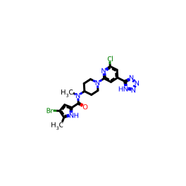 Cc1[nH]c(C(=O)N(C)C2CCN(c3cc(-c4nnn[nH]4)cc(Cl)n3)CC2)cc1Br